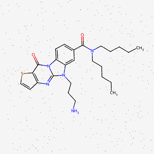 CCCCCN(CCCCC)C(=O)c1ccc2c(c1)n(CCCN)c1nc3ccsc3c(=O)n21